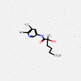 CCOC(=O)CCCC(O)(C(=O)Nc1cnc(C#N)c(C(F)(F)F)c1)C(F)(F)F